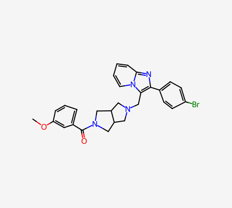 COc1cccc(C(=O)N2CC3CN(Cc4c(-c5ccc(Br)cc5)nc5ccccn45)CC3C2)c1